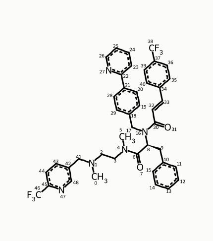 CN(CCN(C)C(=O)[C@H](Cc1ccccc1)N(Cc1ccc(-c2ccccn2)cc1)C(=O)C=Cc1ccc(C(F)(F)F)cc1)Cc1ccc(C(F)(F)F)nc1